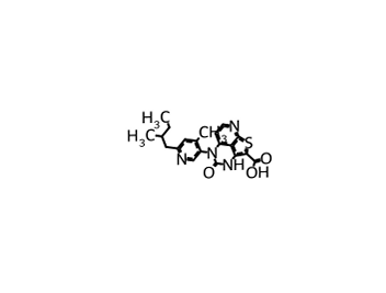 CCC(C)Cc1cc(C)c(N2C(=O)Nc3c(C(=O)O)sc4nccc2c34)cn1